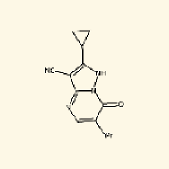 CC(C)c1cnc2c(C#N)c(C3CC3)[nH]n2c1=O